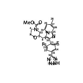 COC(=O)N1CCOC(Cc2c(-c3c(F)cc(-c4nn[nH]n4)cc3F)nc3cc(C)ccn23)C1